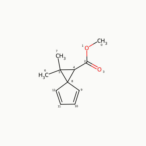 COC(=O)C1C(C)(C)C12C=CC=C2